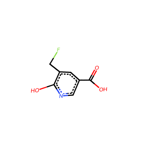 O=C(O)c1cnc(O)c(CF)c1